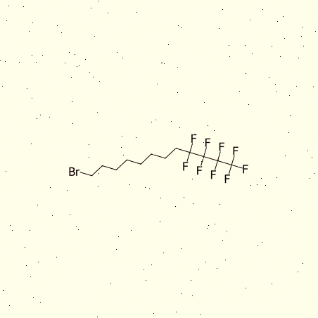 FC(F)(F)C(F)(F)C(F)(F)C(F)(F)CCCCCCCCBr